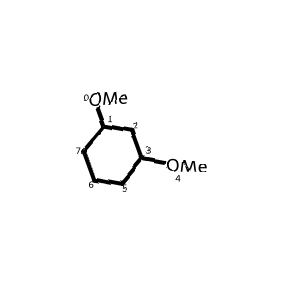 COC1[CH]C(OC)CCC1